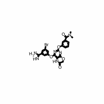 CN(C)C(=O)c1cccc(Oc2nc3c(c(Oc4cc(Br)cc(C(=N)N)c4)n2)NC(=O)CO3)c1